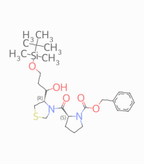 CC(C)(C)[Si](C)(C)OCCC(O)[C@@H]1CSCN1C(=O)[C@@H]1CCCN1C(=O)OCc1ccccc1